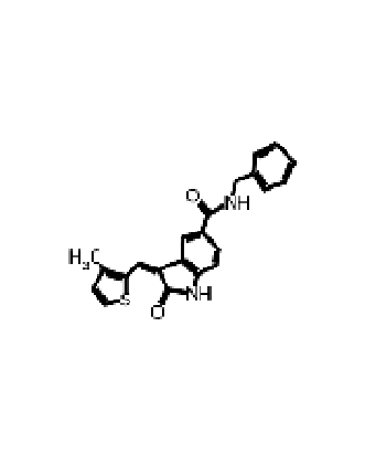 Cc1ccsc1C=C1C(=O)Nc2ccc(C(=O)NCc3ccccc3)cc21